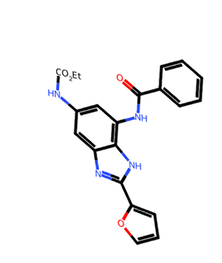 CCOC(=O)Nc1cc(NC(=O)c2ccccc2)c2[nH]c(-c3ccco3)nc2c1